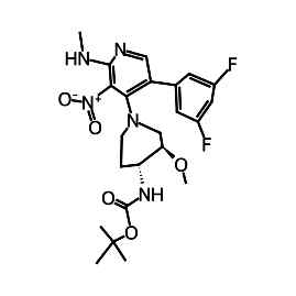 CNc1ncc(-c2cc(F)cc(F)c2)c(N2CC[C@@H](NC(=O)OC(C)(C)C)[C@H](OC)C2)c1[N+](=O)[O-]